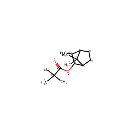 CCC(C)(C)C(=O)OC1C(C)C2CCC1C2(C)C